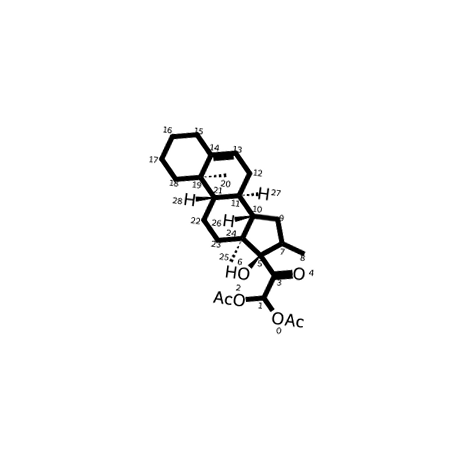 CC(=O)OC(OC(C)=O)C(=O)[C@@]1(O)C(C)C[C@H]2[C@@H]3CC=C4CCCC[C@]4(C)[C@H]3CC[C@@]21C